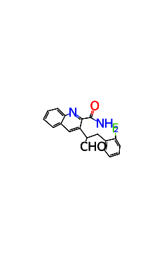 NC(=O)c1nc2ccccc2cc1C(C=O)Cc1ccccc1F